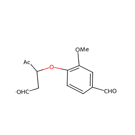 COc1cc(C=O)ccc1OC(C[C]=O)C(C)=O